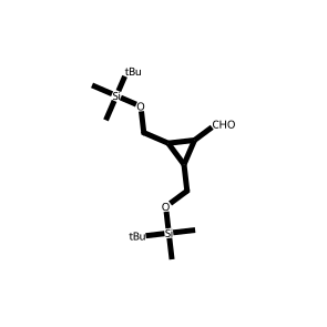 CC(C)(C)[Si](C)(C)OCC1C(C=O)C1CO[Si](C)(C)C(C)(C)C